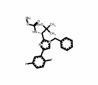 COC(C)(C)[C@@H](NC(=O)OC(C)(C)C)c1nc(-c2cc(F)ccc2F)cn1Cc1ccccc1